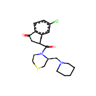 O=C1CC(C(=O)N2CCSCC2CN2CCCCC2)c2cc(Cl)ccc21